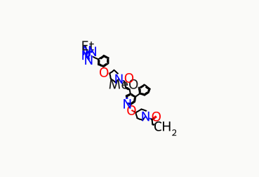 C=CC(=O)N1CCC(Oc2cc(-c3ccccc3OC)c(/C=C/C(=O)N3CCC(Oc4cccc(-c5nnn(CC)n5)c4)CC3)cn2)CC1